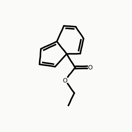 CCOC(=O)C12C=CC=CC1=CC=C2